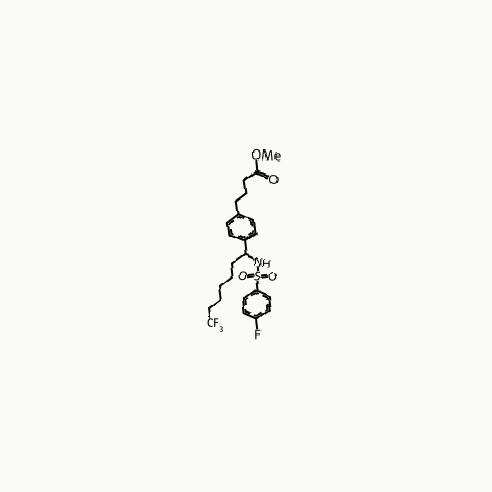 COC(=O)CCCc1ccc(C(CCCCCC(F)(F)F)NS(=O)(=O)c2ccc(F)cc2)cc1